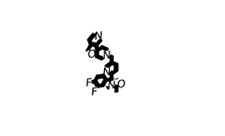 CC(=O)N(C)[C@@](C)(c1ccc(F)c(F)c1)c1ccc(CN2CCC3(CC2)OCc2ccncc23)cn1